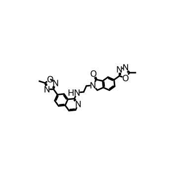 Cc1nc(-c2ccc3ccnc(NCCN4Cc5ccc(-c6nnc(C)o6)cc5C4=O)c3c2)no1